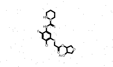 CC(=O)OC1COCC1OC(=O)CSc1cc(NC(=S)N2CCCCN2)c(F)cc1Cl